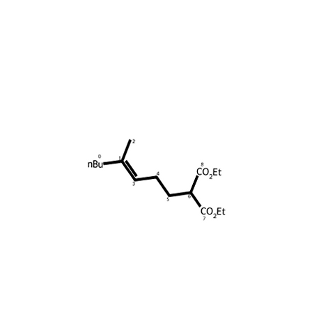 CCCC/C(C)=C/CCC(C(=O)OCC)C(=O)OCC